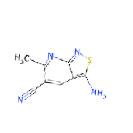 Cc1nc2nsc(N)c2cc1C#N